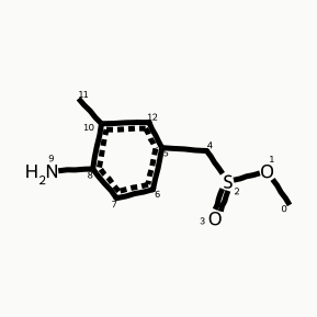 COS(=O)Cc1ccc(N)c(C)c1